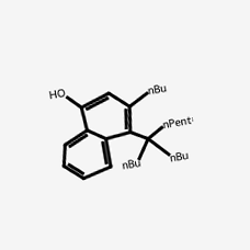 CCCC[C]C(CCCC)(CCCC)c1c(CCCC)cc(O)c2ccccc12